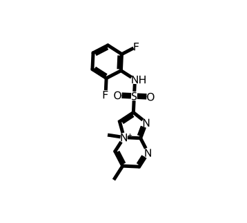 CC1=C[N+]2(C)C=C(S(=O)(=O)Nc3c(F)cccc3F)N=C2N=C1